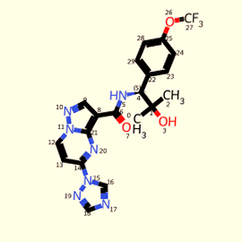 CC(C)(O)[C@@H](NC(=O)c1cnn2ccc(-n3cncn3)nc12)c1ccc(OC(F)(F)F)cc1